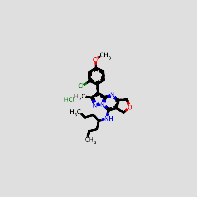 CCCC(CCC)Nc1c2c(nc3c(-c4ccc(OC)cc4Cl)c(C)nn13)COC2.Cl